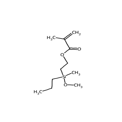 C=C(C)C(=O)OCC[Si](C)(CCC)OC